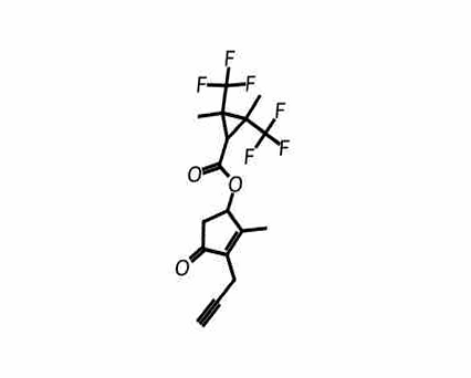 C#CCC1=C(C)C(OC(=O)C2C(C)(C(F)(F)F)C2(C)C(F)(F)F)CC1=O